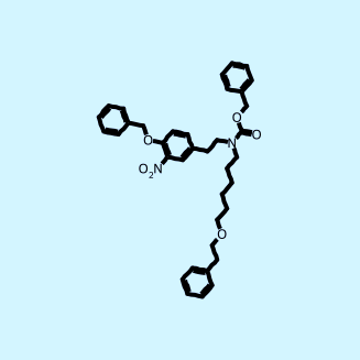 O=C(OCc1ccccc1)N(CCCCCCOCCc1ccccc1)CCc1ccc(OCc2ccccc2)c([N+](=O)[O-])c1